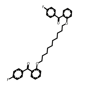 O=C(c1ccc(F)cc1)c1ccccc1OCCCCCCCCCCOc1ccccc1C(=O)c1ccc(F)cc1